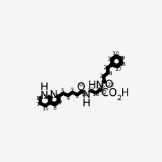 O=C(CCCCc1ccc2c(n1)NCCC2)NCCC(NC(=O)CCCc1ccccc1)C(=O)O